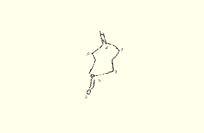 O=[P]1CCNC1